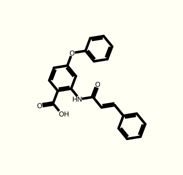 O=C(/C=C/c1ccccc1)Nc1cc(Oc2ccccc2)ccc1C(=O)O